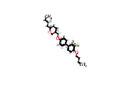 CCCCOc1ccc(-c2ccc(OCC3CCC(CCCC)OC3)cc2)c(F)c1F